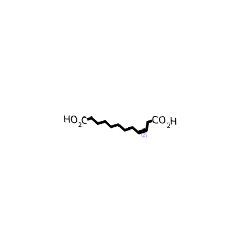 O=C(O)C/C=C\CCCCCCCC(=O)O